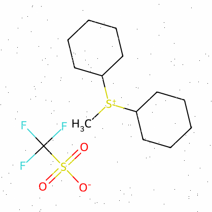 C[S+](C1CCCCC1)C1CCCCC1.O=S(=O)([O-])C(F)(F)F